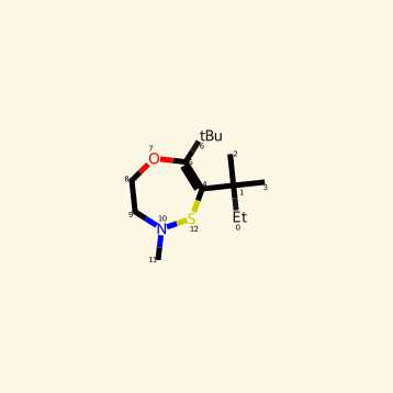 CCC(C)(C)C1=C(C(C)(C)C)OCCN(C)S1